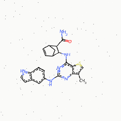 Cc1csc2c(NC3C4C=CC(C4)C3C(N)=O)nc(Nc3ccc4[nH]ccc4c3)nc12